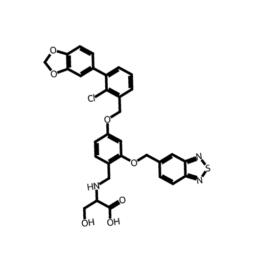 O=C(O)C(CO)NCc1ccc(OCc2cccc(-c3ccc4c(c3)OCO4)c2Cl)cc1OCc1ccc2nsnc2c1